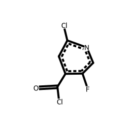 O=C(Cl)c1cc(Cl)ncc1F